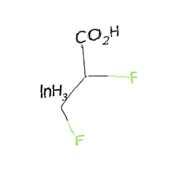 O=C(O)C(F)CF.[InH3]